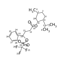 CC1CCC(C(C)C)C(OC(=O)CCC(OS(=O)(=O)C(F)(F)F)c2ccccc2)C1